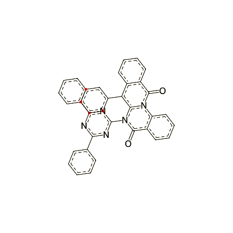 O=c1c2ccccc2n2c(=O)c3ccccc3c(-c3ccccc3)c2n1-c1nc(-c2ccccc2)nc(-c2ccccc2)n1